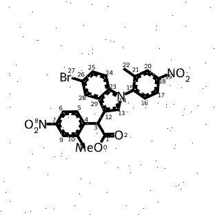 COC(=O)C(c1ccc([N+](=O)[O-])cc1C)c1cn(-c2ccc([N+](=O)[O-])cc2C)c2ccc(Br)cc12